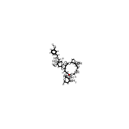 CC[C@@H]1OC(=O)[C@H](C)[C@H](OC2C[C@@](C)(OC)[C@](O)(CNCc3cccc(OC)c3)[C@H](C)O2)[C@@H](C)[C@@H](O[C@@H]2O[C@H](C)C[C@H](N)[C@H]2O)[C@](C)(O)C[C@@H](C)NC[C@@H](C)[C@H](O)[C@]1(C)O